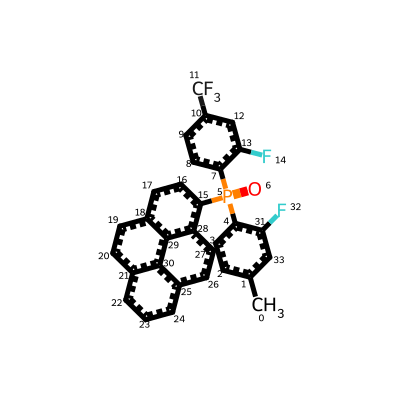 Cc1ccc(P(=O)(c2ccc(C(F)(F)F)cc2F)c2ccc3ccc4cccc5ccc2c3c45)c(F)c1